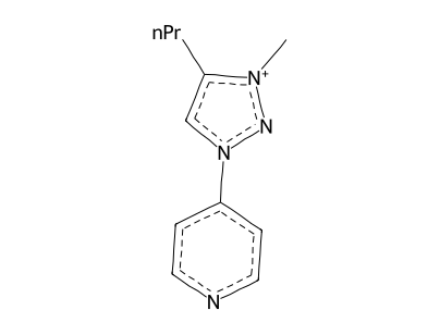 CCCc1cn(-c2ccncc2)n[n+]1C